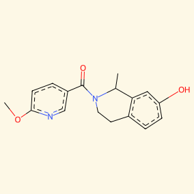 COc1ccc(C(=O)N2CCc3ccc(O)cc3C2C)cn1